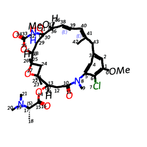 COc1cc2cc(c1Cl)N(C)C(=O)C[C@H](OC(=O)[C@H](C)N(C)C)[C@@]1(C)CC(C)(O1)[C@@H]1C[C@@](O)(NC(=O)O1)[C@H](OC)/C=C/C=C(\C)C2